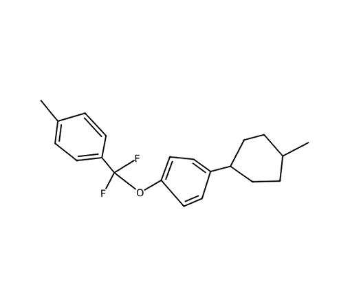 Cc1ccc(C(F)(F)Oc2ccc(C3CCC(C)CC3)cc2)cc1